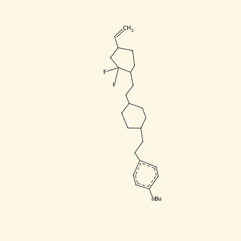 C=CC1CCC(CCC2CCC(CCc3ccc(CCCC)cc3)CC2)C(F)(F)C1